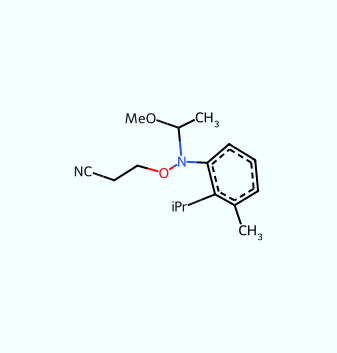 COC(C)N(OCCC#N)c1cccc(C)c1C(C)C